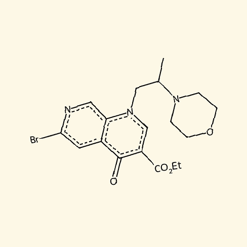 CCOC(=O)c1cn(CC(C)N2CCOCC2)c2cnc(Br)cc2c1=O